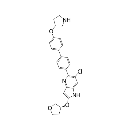 Clc1cc2[nH]c(O[C@H]3CCOC3)cc2nc1-c1ccc(-c2ccc(OC3CCNC3)cc2)cc1